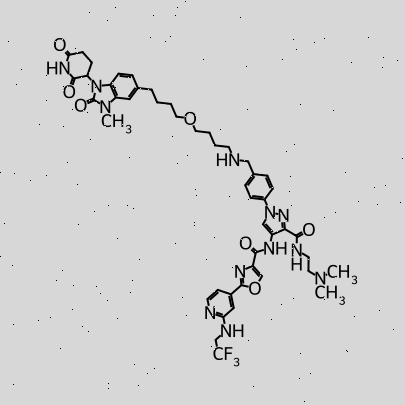 CN(C)CCNC(=O)c1nn(-c2ccc(CNCCCCOCCCCc3ccc4c(c3)n(C)c(=O)n4C3CCC(=O)NC3=O)cc2)cc1NC(=O)c1coc(-c2ccnc(NCC(F)(F)F)c2)n1